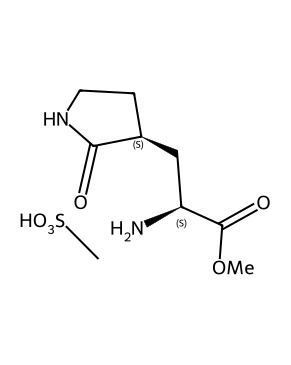 COC(=O)[C@@H](N)C[C@@H]1CCNC1=O.CS(=O)(=O)O